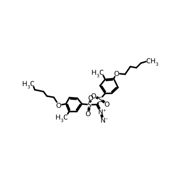 CCCCCOc1ccc(S(=O)(=O)C(=[N+]=[N-])S(=O)(=O)c2ccc(OCCCCC)c(C)c2)cc1C